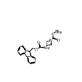 CC(C)(C)OC(=O)N1CC(NC(=O)OCC2c3ccccc3-c3ccccc32)C1